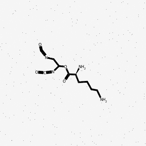 NCCCC[C@H](N)C(=O)OC(CN=C=O)N=C=O